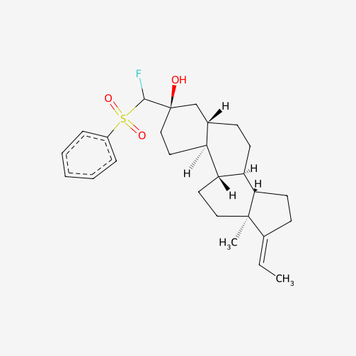 CC=C1CC[C@H]2[C@@H]3CC[C@H]4C[C@@](O)(C(F)S(=O)(=O)c5ccccc5)CC[C@@H]4[C@H]3CC[C@]12C